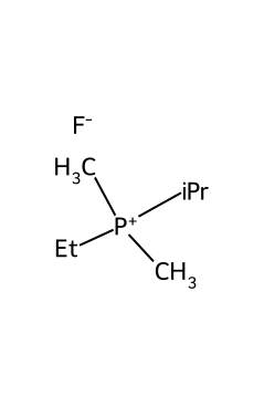 CC[P+](C)(C)C(C)C.[F-]